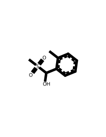 Cc1ccccc1C(O)S(C)(=O)=O